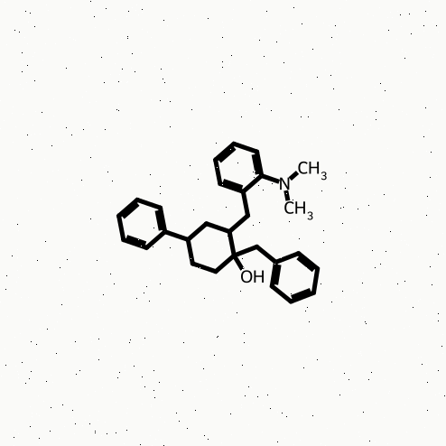 CN(C)c1ccccc1CC1CC(c2ccccc2)CCC1(O)Cc1ccccc1